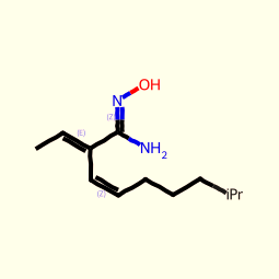 C/C=C(\C=C/CCCC(C)C)C(/N)=N/O